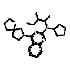 CCC(C)C(C)N(c1nc(N2CCC3(CCCO3)C2)c2ccccc2n1)C1CCCC1